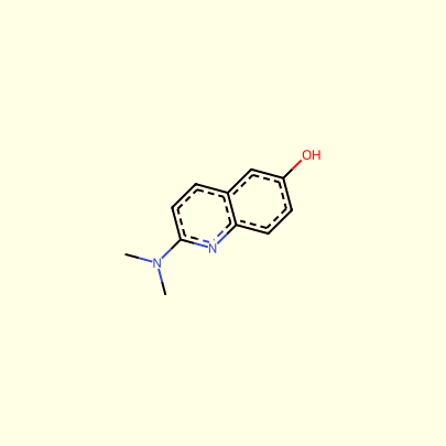 CN(C)c1ccc2cc(O)ccc2n1